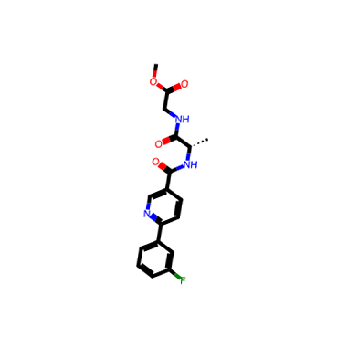 COC(=O)CNC(=O)[C@H](C)NC(=O)c1ccc(-c2cccc(F)c2)nc1